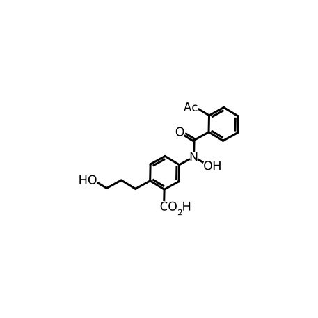 CC(=O)c1ccccc1C(=O)N(O)c1ccc(CCCO)c(C(=O)O)c1